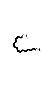 [CH2]CCCCC/C=C\C/C=C\C/C=C\CC